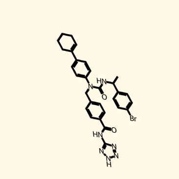 CC(NC(=O)N(Cc1ccc(C(=O)Nc2nn[nH]n2)cc1)c1ccc(C2=CCCCC2)cc1)c1ccc(Br)cc1